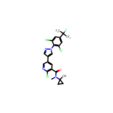 CN(C(=O)c1cc(-c2cnn(-c3c(Cl)cc(C(F)(C(F)(F)F)C(F)(F)F)cc3Cl)c2)cnc1Cl)C1(C#N)CC1